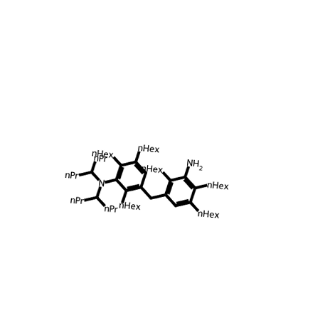 CCCCCCc1cc(Cc2cc(CCCCCC)c(CCCCCC)c(N(C(CCC)CCC)C(CCC)CCC)c2CCCCCC)c(CCCCCC)c(N)c1CCCCCC